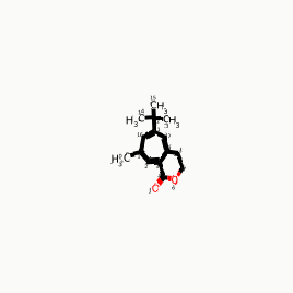 CC1C=C2C(=O)OCCC2=CC(C(C)(C)C)=C1